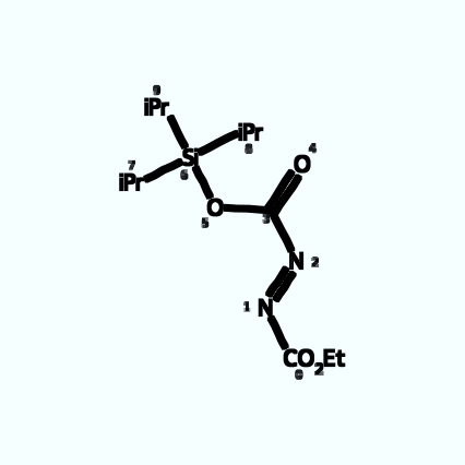 CCOC(=O)N=NC(=O)O[Si](C(C)C)(C(C)C)C(C)C